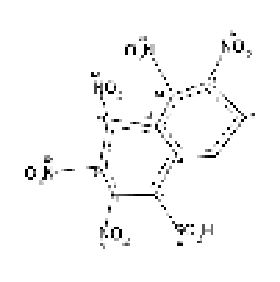 O=[N+]([O-])c1ccc2c(S(=O)(=O)O)c([N+](=O)[O-])c([N+](=O)[O-])c([N+](=O)[O-])c2c1[N+](=O)[O-]